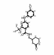 O=C1CC(CNC(=O)c2ccc(Nc3cccc(Cl)c3)nc2C(F)(F)F)CCO1